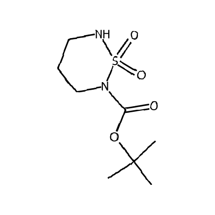 CC(C)(C)OC(=O)N1CCCNS1(=O)=O